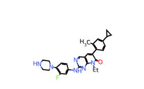 CCn1c(=O)c(-c2ccc(C3CC3)cc2C)cc2cnc(Nc3ccc(N4CCNCC4)c(F)c3)nc21